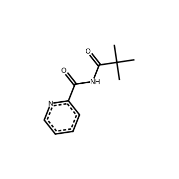 CC(C)(C)C(=O)NC(=O)c1ccccn1